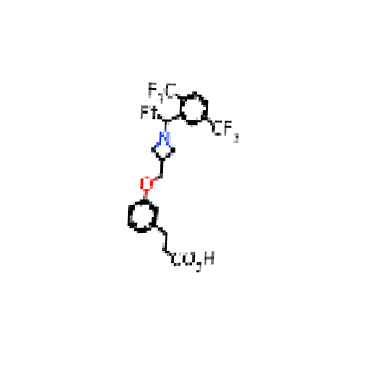 CCC(c1cc(C(F)(F)F)ccc1C(F)(F)F)N1CC(COc2cccc(CCC(=O)O)c2)C1